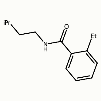 CCc1ccccc1C(=O)NCCC(C)C